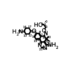 C[C@@H](O)CO/N=C1\c2cc(O[C@H]3CC[C@H](N)CC3)ccc2-c2ncnc(N)c2C1(C)C